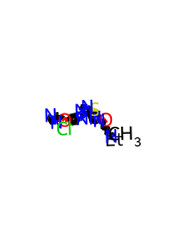 CCN(C)C/C=C/C(=O)N1CCc2c(sc3ncnc(Nc4ccc(OCc5cnccn5)c(Cl)c4)c23)C1